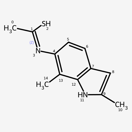 C/C(S)=N/c1ccc2cc(C)[nH]c2c1C